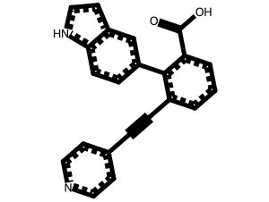 O=C(O)c1cccc(C#Cc2ccncc2)c1-c1ccc2[nH]ccc2c1